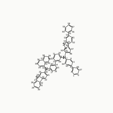 c1ccc(-c2ccc(N(c3cccc(-c4cccc(N(c5ccc6c(c5)sc5ccccc56)c5cccc6ccccc56)c4)c3)c3ccc4c(c3)sc3cc(-c5ccccc5)ccc34)cc2)cc1